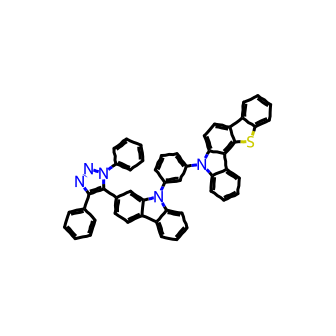 c1ccc(-c2nnn(-c3ccccc3)c2-c2ccc3c4ccccc4n(-c4cccc(-n5c6ccccc6c6c7sc8ccccc8c7ccc65)c4)c3c2)cc1